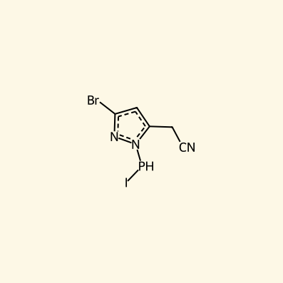 N#CCc1cc(Br)nn1PI